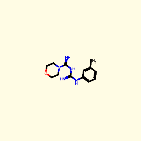 Bc1cccc(NC(=N)NC(=N)N2CCOCC2)c1